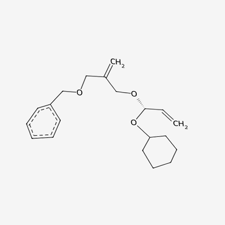 C=C[C@@H](OCC(=C)COCc1ccccc1)OC1CCCCC1